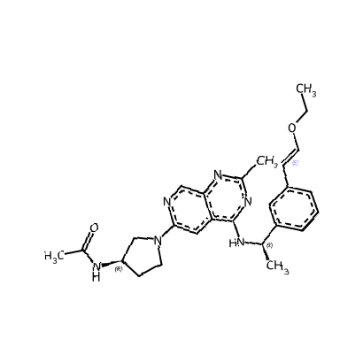 CCO/C=C/c1cccc([C@@H](C)Nc2nc(C)nc3cnc(N4CC[C@@H](NC(C)=O)C4)cc23)c1